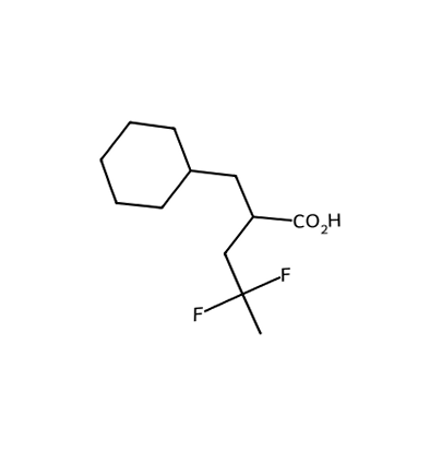 CC(F)(F)CC(CC1CCCCC1)C(=O)O